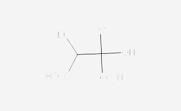 CCC(C(=O)O)C(O)(CC)C(=O)O